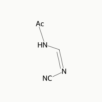 CC(=O)N/C=N\C#N